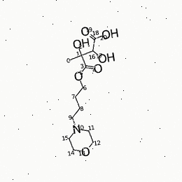 CC(O)(C(=O)OCCCCN1CCOCC1)C(O)C(=O)O